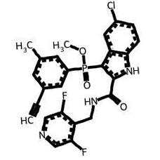 C#Cc1cc(C)cc(P(=O)(OC)c2c(C(=O)NCc3c(F)cncc3F)[nH]c3ccc(Cl)cc23)c1